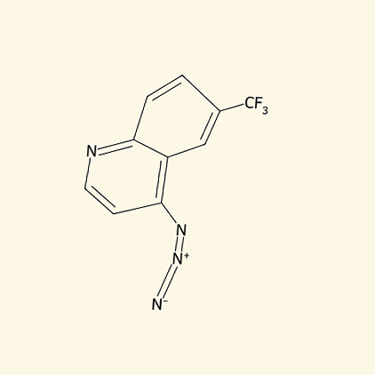 [N-]=[N+]=Nc1ccnc2ccc(C(F)(F)F)cc12